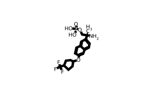 C[C@](N)(COP(=O)(O)O)c1ccc2cc(OC3CCC(C(F)(F)F)CC3)ccc2c1